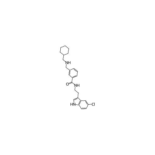 O=C(NCCc1c[nH]c2ccc(Cl)cc12)c1cccc(CNCC2CCCCC2)c1